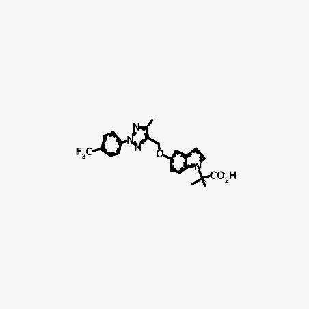 Cc1nn(-c2ccc(C(F)(F)F)cc2)nc1COc1ccc2c(ccn2C(C)(C)C(=O)O)c1